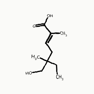 CCC(C)(CO)C/C=C(\C)C(=O)O